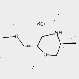 COC[C@@H]1CN[C@@H](C)CO1.Cl